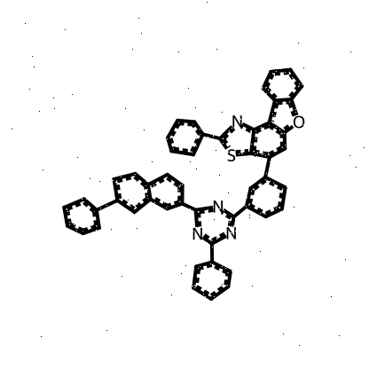 c1ccc(-c2ccc3ccc(-c4nc(-c5ccccc5)nc(-c5cccc(-c6cc7oc8ccccc8c7c7nc(-c8ccccc8)sc67)c5)n4)cc3c2)cc1